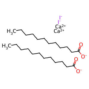 CCCCCCCCCCCC(=O)[O-].CCCCCCCCCCCC(=O)[O-].[Ca+2].[Ca+2].[I-].[I-]